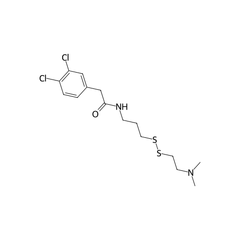 CN(C)CCSSCCCNC(=O)Cc1ccc(Cl)c(Cl)c1